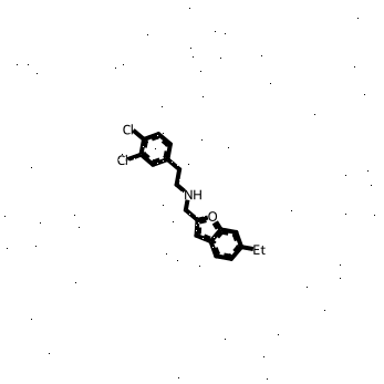 CCc1ccc2cc(CNCCc3ccc(Cl)c(Cl)c3)oc2c1